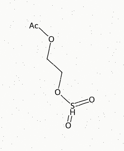 CC(=O)OCCO[SH](=O)=O